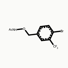 CC(=O)NOCc1ccc(Br)c(C(F)(F)F)c1